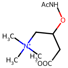 CC(=O)NOC(CC(=O)[O-])C[N+](C)(C)C